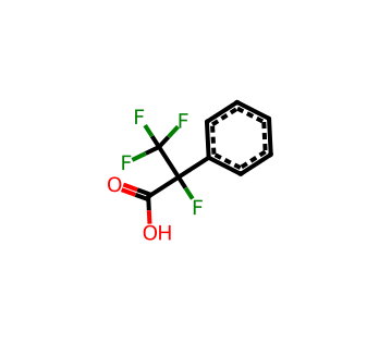 O=C(O)C(F)(c1ccccc1)C(F)(F)F